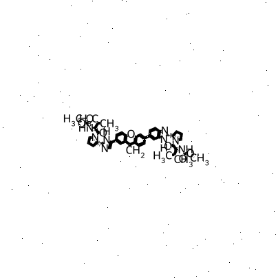 C=C1c2ccc(-c3ccc4nc([C@@H]5CCCN5C(=O)[C@@H](NC(=O)OC)C(C)C)[nH]c4c3)cc2Oc2ccc(-c3cnc([C@@H]4CCCN4C(=O)[C@@H](NC(=O)OC)C(C)C)[nH]3)cc21